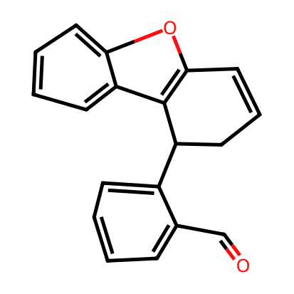 O=Cc1ccccc1C1CC=Cc2oc3ccccc3c21